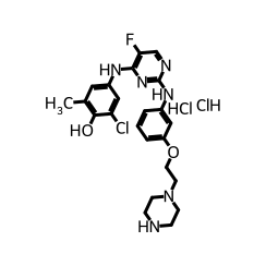 Cc1cc(Nc2nc(Nc3cccc(OCCN4CCNCC4)c3)ncc2F)cc(Cl)c1O.Cl.Cl